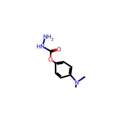 CN(C)c1ccc(OC(=O)NN)cc1